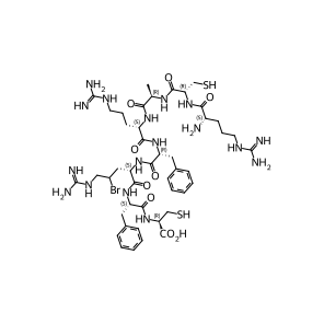 C[C@@H](NC(=O)[C@H](CS)NC(=O)[C@@H](N)CCCNC(=N)N)C(=O)N[C@@H](CCCNC(=N)N)C(=O)N[C@H](Cc1ccccc1)C(=O)N[C@@H](CC(Br)CNC(=N)N)C(=O)N[C@@H](Cc1ccccc1)C(=O)N[C@@H](CS)C(=O)O